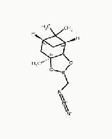 CC1(C)[C@@H]2C[C@H]1C1OB(CN=[N+]=[N-])O[C@@]1(C)C2